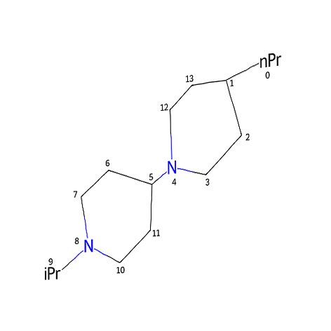 CCCC1CCN(C2CCN(C(C)C)CC2)CC1